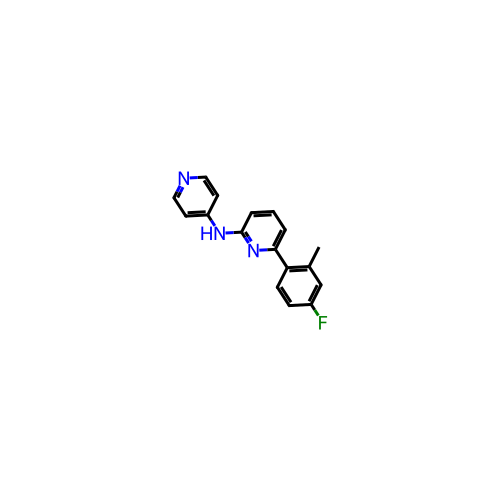 Cc1cc(F)ccc1-c1cccc(Nc2ccncc2)n1